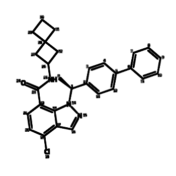 C[C@@H](c1ccc(-c2ccccc2)cc1)n1ncc2c(Cl)ccc(C(=O)NC3CC4(CCC4)C3)c21